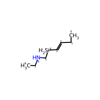 CCC=C[SiH2]CNCC